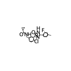 Cc1ccc(-c2nn(-c3cc(CNC(=O)C4CC4)ccc3Cl)c(=O)[nH]2)c(F)c1